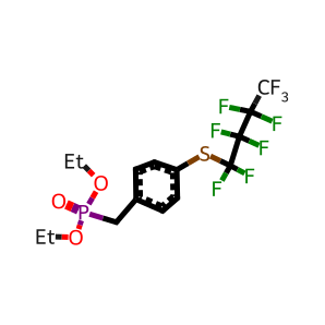 CCOP(=O)(Cc1ccc(SC(F)(F)C(F)(F)C(F)(F)C(F)(F)F)cc1)OCC